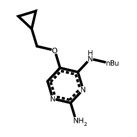 CCCCNc1nc(N)ncc1OCC1CC1